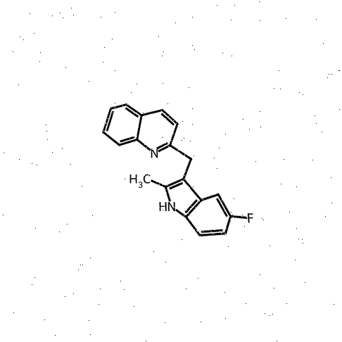 Cc1[nH]c2ccc(F)cc2c1Cc1ccc2ccccc2n1